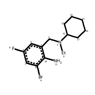 CCN(Cc1cc(F)cc(Br)c1N)C1CCCCC1